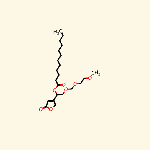 CCCCCCCCCCCC(=O)OC(COCOCCOC)C1=CC(=O)OC1